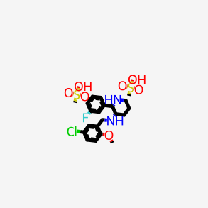 COc1ccc(Cl)cc1CNC1CCCNC1c1cccc(F)c1.CS(=O)(=O)O.CS(=O)(=O)O